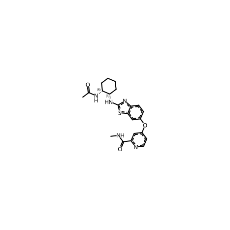 CNC(=O)c1cc(Oc2ccc3nc(N[C@H]4CCCC[C@H]4NC(C)=O)sc3c2)ccn1